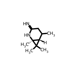 CC1CC(=N)N[C@@]2(C)[C@H]1C2(C)C